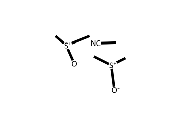 CC#N.C[S+](C)[O-].C[S+](C)[O-]